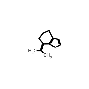 CC(C)=C1CCCc2ccsc21